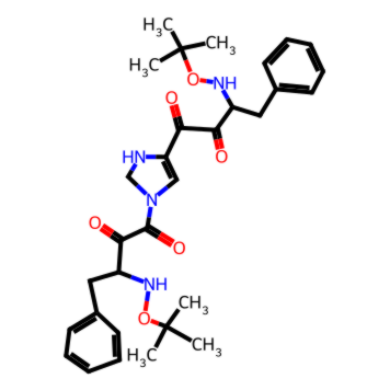 CC(C)(C)ONC(Cc1ccccc1)C(=O)C(=O)C1=CN(C(=O)C(=O)C(Cc2ccccc2)NOC(C)(C)C)CN1